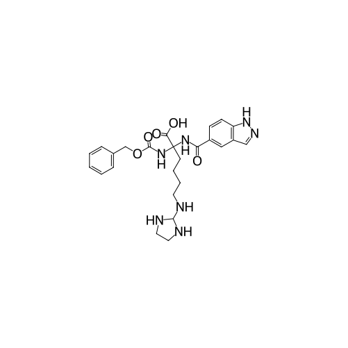 O=C(NC(CCCCNC1NCCN1)(NC(=O)c1ccc2[nH]ncc2c1)C(=O)O)OCc1ccccc1